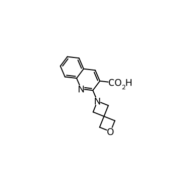 O=C(O)c1cc2ccccc2nc1N1CC2(COC2)C1